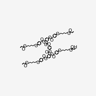 C=CC(=O)OCCCCCCOc1ccc(C(=O)Oc2ccc(OC(=O)c3ccc(OCCCCCCOC(=O)C=C)cc3)c(C(=O)Oc3ccc(OC(=O)c4cc(OC(=O)c5ccc(OCCCCCCOC(=O)C=C)cc5)ccc4OC(=O)c4ccc(OCCCCCCO[C@@H](O)C=C)cc4)cc3)c2)cc1